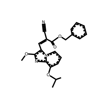 COc1nc2c(OC(C)C)cccn2c1/C=C(/C#N)C(=O)OCc1ccccc1